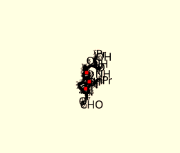 CC(C)C1NC(=O)C(NC(=O)[C@@H](O)C(C)C)Cc2ccc3c(c2)C2(c4ccccc4NC2O3)c2oc1nc2-c1nc(COC=O)co1